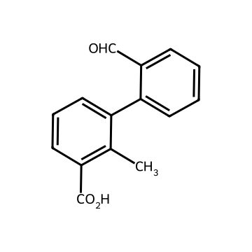 Cc1c(C(=O)O)cccc1-c1ccccc1C=O